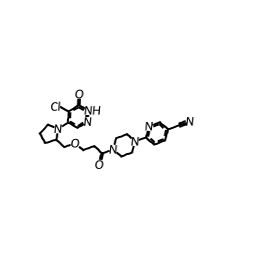 N#Cc1ccc(N2CCN(C(=O)CCOCC3CCCN3c3cn[nH]c(=O)c3Cl)CC2)nc1